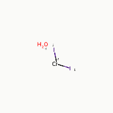 O.[I][Cr][I]